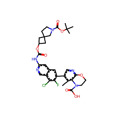 Cc1c(-c2cc3cc(NC(=O)OC4CC5(CCN(C(=O)OC(C)(C)C)C5)C4)ncc3c(Cl)c2F)cnc2c1N(C(=O)O)CCO2